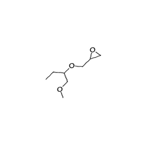 CCC(COC)OCC1CO1